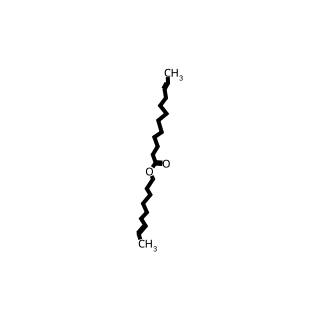 CC=CCCCCCCCCC(=O)OCCCCCC/C=C/C